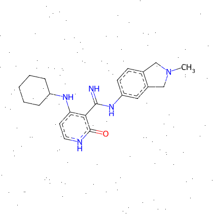 CN1Cc2ccc(NC(=N)c3c(NC4CCCCC4)cc[nH]c3=O)cc2C1